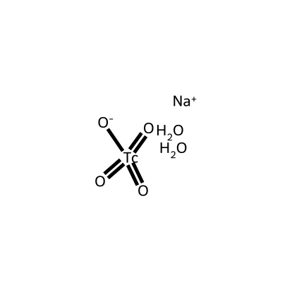 O.O.[Na+].[O]=[Tc](=[O])(=[O])[O-]